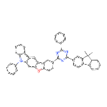 CC1(C)c2ccccc2-c2ccc(-c3nc(-c4ccccc4)nc(-c4ccc5oc6cc7c(cc6c5c4)c4ccccc4n7-c4ccccc4)n3)cc21